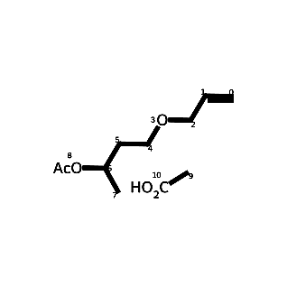 C=CCOCCC(C)OC(C)=O.CC(=O)O